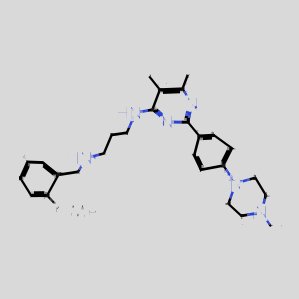 COc1ccccc1CNCCCNc1nc(-c2ccc(N3CCN(C)CC3)cc2)nc(C)c1C